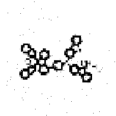 CC1(C)c2ccccc2-c2ccc(N(c3ccc(-c4cccc5c4-c4ccccc4C54c5ccc6ccccc6c5Oc5c4ccc4ccccc54)cc3)c3ccc4c(c3)sc3ccccc34)cc21